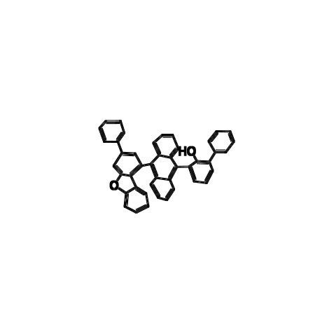 Oc1c(-c2ccccc2)cccc1-c1c2ccccc2c(-c2cc(-c3ccccc3)cc3oc4ccccc4c23)c2ccccc12